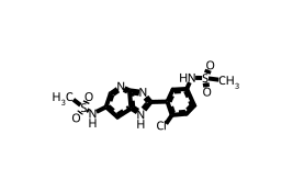 CS(=O)(=O)Nc1ccc(Cl)c(-c2nc3ncc(NS(C)(=O)=O)cc3[nH]2)c1